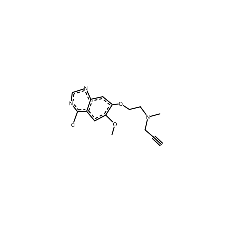 C#CCN(C)CCOc1cc2ncnc(Cl)c2cc1OC